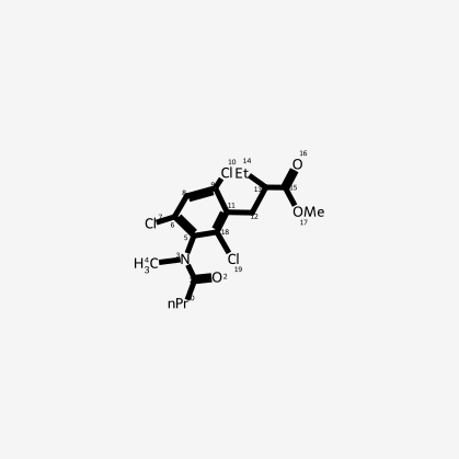 CCCC(=O)N(C)c1c(Cl)cc(Cl)c(CC(CC)C(=O)OC)c1Cl